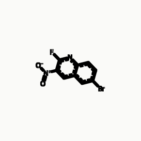 O=[N+]([O-])c1cc2cc(Br)ccc2nc1F